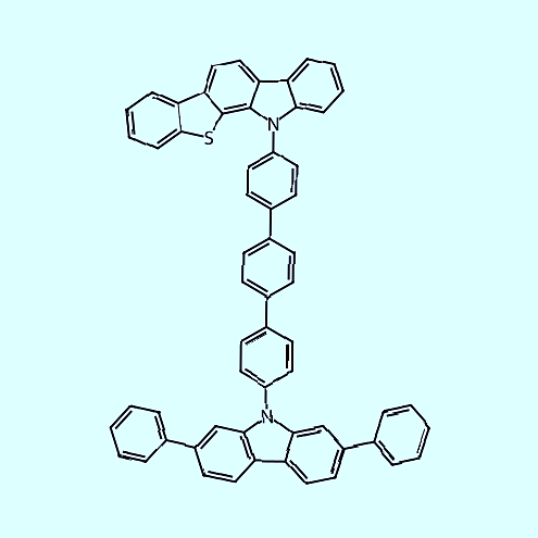 c1ccc(-c2ccc3c4ccc(-c5ccccc5)cc4n(-c4ccc(-c5ccc(-c6ccc(-n7c8ccccc8c8ccc9c%10ccccc%10sc9c87)cc6)cc5)cc4)c3c2)cc1